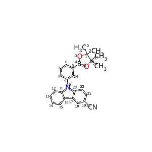 CC1(C)OB(c2cccc(-n3c4ccccc4c4cc(C#N)ccc43)c2)OC1(C)C